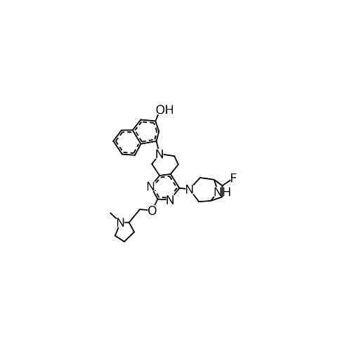 CN1CCCC1COc1nc2c(c(N3CC4CC(F)C(C3)N4)n1)CCN(c1cc(O)cc3ccccc13)C2